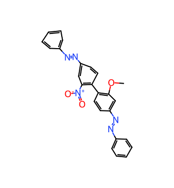 COc1cc(/N=N/c2ccccc2)ccc1-c1ccc(/N=N/c2ccccc2)cc1[N+](=O)[O-]